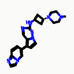 CN1CCN([C@H]2C[C@H](Nc3ncc4c(-c5ccc6nccn6c5)ccn4n3)C2)CC1